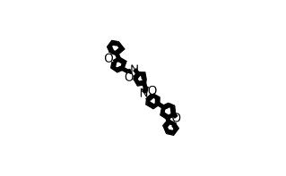 c1ccc2c(c1)oc1ccc(-c3ccc4nc(-c5ccc6nc(-c7ccc8oc9ccccc9c8c7)oc6c5)oc4c3)cc12